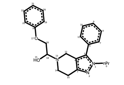 CCCn1nc2c(c1-c1ccccc1)CN(C(O)COc1ccccc1)CC2